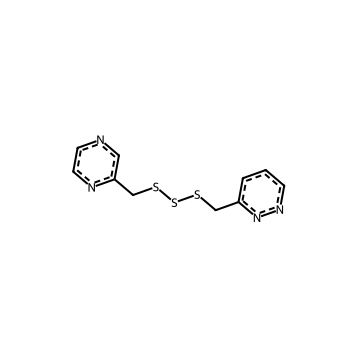 c1cnnc(CSSSCc2cnccn2)c1